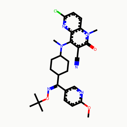 COc1ccc(/C(=N\OC(C)(C)C)C2CCC(N(C)c3c(C#N)c(=O)n(C)c4ccc(Cl)nc34)CC2)cn1